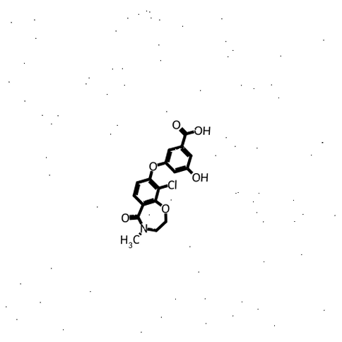 CN1CCOc2c(ccc(Oc3cc(O)cc(C(=O)O)c3)c2Cl)C1=O